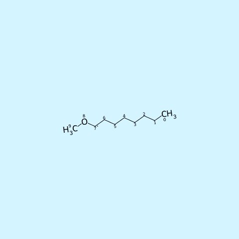 CCCCCCC[CH]OC